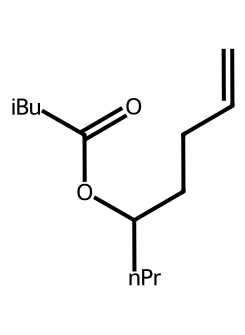 C=CCCC(CCC)OC(=O)C(C)CC